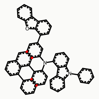 c1ccc(-c2cccc3cccc(-c4ccccc4N(c4cccc(-c5cccc6c5oc5ccccc56)c4)c4cccc5c4c4ccccc4n5-c4ccccc4)c23)cc1